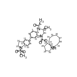 CC(=O)N1c2ccc(-c3ccc4c(c3)CCN4S(C)(=O)=O)cc2N(C(=O)OC2CCCNC23CCCCCCCC3)C[C@@H]1C